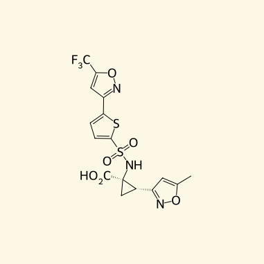 Cc1cc([C@@H]2C[C@]2(NS(=O)(=O)c2ccc(-c3cc(C(F)(F)F)on3)s2)C(=O)O)no1